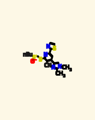 CCCC[S+]([O-])CSc1nc(-c2nccs2)cc(-c2cn(C)c(C)n2)c1C#N